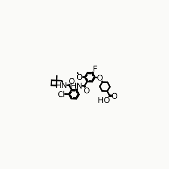 COc1cc(F)c(OC2CCC(C(=O)O)CC2)cc1C(=O)Nc1cccc(Cl)c1C(=O)NCC1(C)CCC1